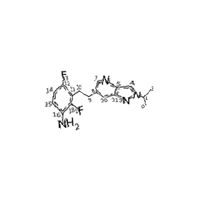 CC(C)n1cc2ncc(CCc3c(F)ccc(N)c3F)cc2n1